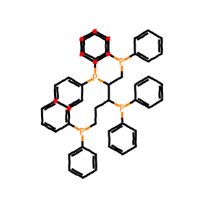 c1ccc(P(CCC(C(CP(c2ccccc2)c2ccccc2)P(c2ccccc2)c2ccccc2)P(c2ccccc2)c2ccccc2)c2ccccc2)cc1